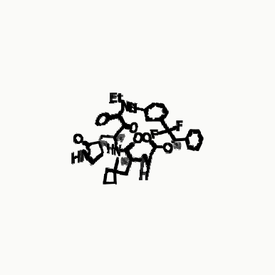 CCNC(=O)C(=O)[C@H](C[C@@H]1CCNC1=O)NC(=O)[C@H](CC1(C)CCC1)NC(=O)O[C@@H](c1ccccc1)C(F)(F)c1cccc(Cl)c1